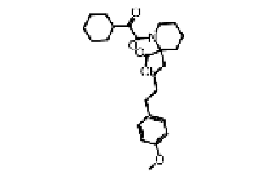 COc1ccc(CCCCC2(C(=O)O)CCCCN2C(=O)C(=O)C2CCCCC2)cc1